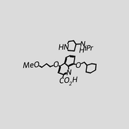 CC(C)NC1CCNCC1.COCCCOc1cc(C(=O)O)nc2c(OCC3CCCCC3)cccc12